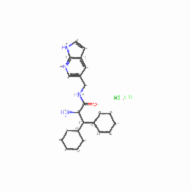 Cl.Cl.N[C@@H](C(=O)NCc1cnc2[nH]ccc2c1)C(C1CCCCC1)C1CCCCC1